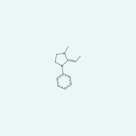 C/C=C1\N(C)CCN1c1ccccc1